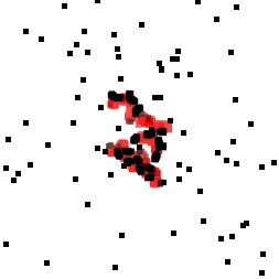 CCO.CCOCC(C)OCC(C)OCC.CO.COC.COC.COCC(C)OCC(C)OCC(C)OC.COCCOCCOCCOC.COCCOCCOCCOCCOC